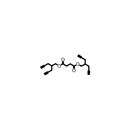 C#CCC(CC#C)COC(=O)CCC(=O)OCC(CC#C)CC#C